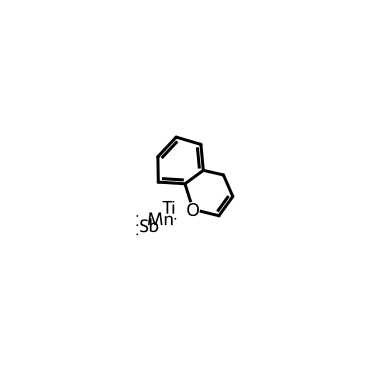 C1=COc2ccccc2C1.[Mn].[Sb].[Ti]